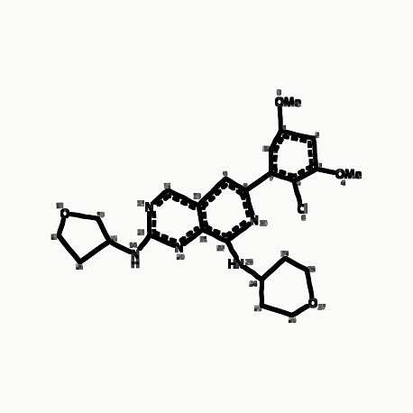 COc1cc(OC)c(Cl)c(-c2cc3cnc(NC4CCOC4)nc3c(NC3CCOCC3)n2)c1